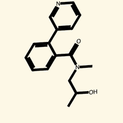 CC(O)CN(C)C(=O)c1ccccc1-c1cccnc1